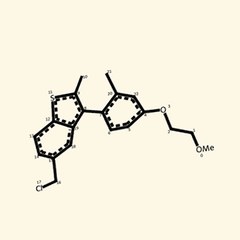 COCCOc1ccc(-c2c(C)sc3ccc(CCl)cc23)c(C)c1